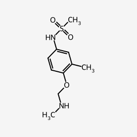 CNCOc1ccc(NS(C)(=O)=O)cc1C